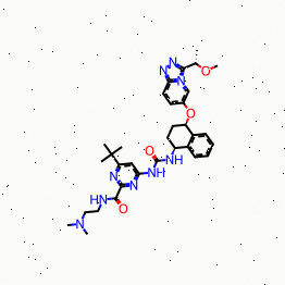 CO[C@@H](C)c1nnc2ccc(O[C@@H]3CC[C@H](NC(=O)Nc4cc(C(C)(C)C)nc(C(=O)NCCN(C)C)n4)c4ccccc43)cn12